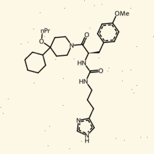 CCCOC1(C2CCCCC2)CCN(C(=O)[C@@H](Cc2ccc(OC)cc2)NC(=O)NCCCc2c[nH]cn2)CC1